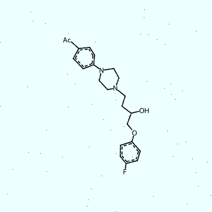 CC(=O)c1ccc(N2CCN(CCC(O)COc3ccc(F)cc3)CC2)cc1